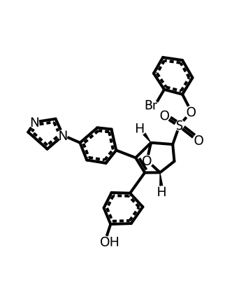 O=S(=O)(Oc1ccccc1Br)C1C[C@H]2O[C@@H]1C(c1ccc(-n3ccnc3)cc1)=C2c1ccc(O)cc1